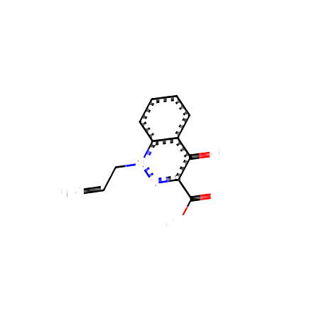 C=CCn1nc(C(=O)O)c(=O)c2ccccc21